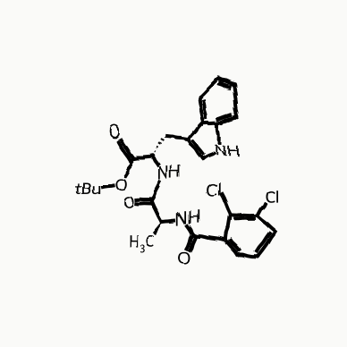 C[C@H](NC(=O)c1cccc(Cl)c1Cl)C(=O)N[C@@H](Cc1c[nH]c2ccccc12)C(=O)OC(C)(C)C